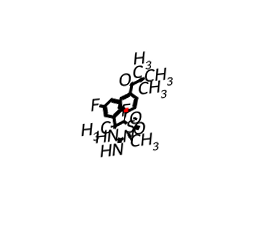 CN1C(=N)N[C@](C)(c2cc(F)ccc2F)[C@@H](c2ccc(C(=O)C(C)(C)C)cc2)S1(=O)=O